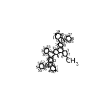 Cc1ccc2c(c1)c1cc3c(cc1c1cc4c5ccccc5n(-c5ccccc5)c4cc21)c1ccccc1c1cc2c(cc31)c1ccccc1n2-c1ccccc1